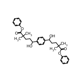 CC(C)(CCC(O)c1ccc(C(O)CCC(C)(C)C(=O)Oc2ccccc2)cc1)C(=O)Oc1ccccc1